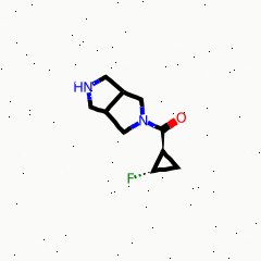 O=C([C@H]1C[C@@H]1F)N1CC2CNCC2C1